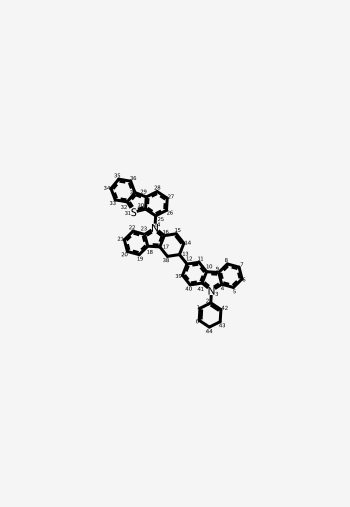 C1=CC(n2c3ccccc3c3cc(C4C=Cc5c(c6ccccc6n5-c5cccc6c5sc5ccccc56)C4)ccc32)=CCC1